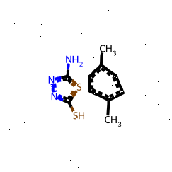 Cc1ccc(C)cc1.Nc1nnc(S)s1